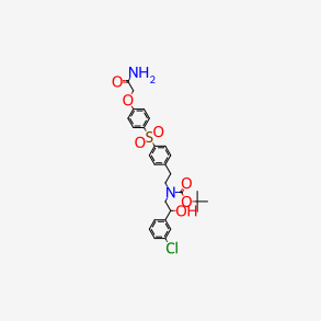 CC(C)(C)OC(=O)N(CCc1ccc(S(=O)(=O)c2ccc(OCC(N)=O)cc2)cc1)CC(O)c1cccc(Cl)c1